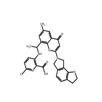 Cc1cc(C(C)Nc2ccc(Cl)nc2C(=O)O)c2oc(N3Cc4ccc5c(c4C3)OCC5)cc(=O)c2c1